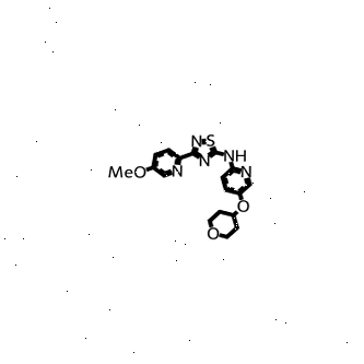 COc1ccc(-c2nsc(Nc3ccc(OC4CCOCC4)cn3)n2)nc1